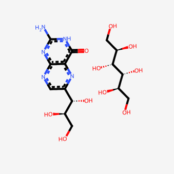 Nc1nc2ncc([C@H](O)[C@H](O)CO)nc2c(=O)[nH]1.OC[C@@H](O)[C@@H](O)[C@H](O)[C@H](O)CO